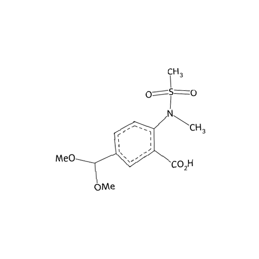 COC(OC)c1ccc(N(C)S(C)(=O)=O)c(C(=O)O)c1